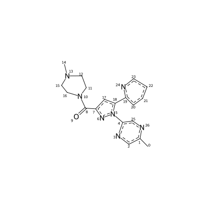 Cc1cnc(-n2nc(C(=O)N3CCN(C)CC3)cc2-c2ccccn2)cn1